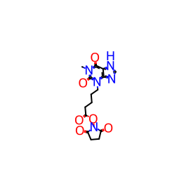 Cn1c(=O)c2[nH]cnc2n(CCCCC(=O)ON2C(=O)CCC2=O)c1=O